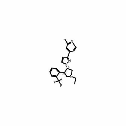 CCN1C[C@@H](n2ccc(-c3ccnc(C)c3)n2)[C@H](c2ccccc2C(F)(F)F)C1